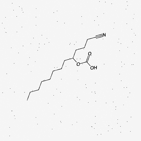 CCCCCCCCC(CCCC#N)OC(=O)O